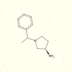 CC(c1ccccc1)N1CC[C@@H](N)C1